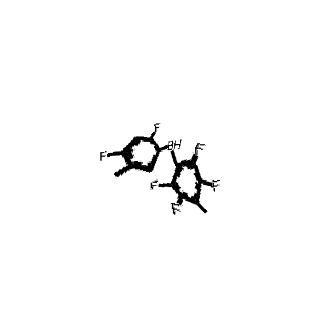 Cc1cc(Bc2c(F)c(F)c(C)c(F)c2F)c(F)cc1F